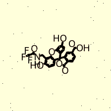 O=C(O)c1ccc2c(c1)C1(OC2=O)c2ccc(O)cc2Oc2c1ccc(O)c2CNC(=O)C(F)(F)F